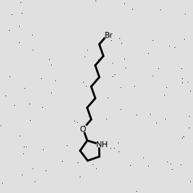 BrCCCCCCCCOC1CCCN1